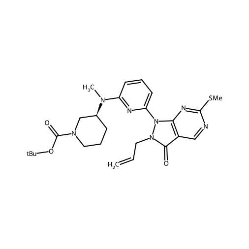 C=CCn1c(=O)c2cnc(SC)nc2n1-c1cccc(N(C)[C@H]2CCCN(C(=O)OC(C)(C)C)C2)n1